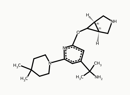 CC1(C)CCN(c2cc(C(C)(C)N)cc(OC3[C@H]4CNC[C@@H]34)n2)CC1